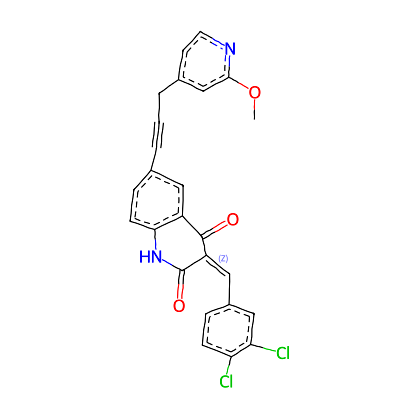 COc1cc(CC#Cc2ccc3c(c2)C(=O)/C(=C/c2ccc(Cl)c(Cl)c2)C(=O)N3)ccn1